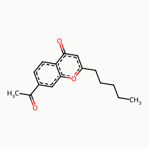 CCCCCc1cc(=O)c2ccc(C(C)=O)cc2o1